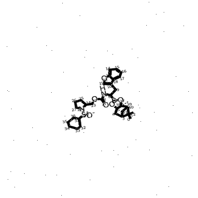 CC1(C)C2CC3OB(C(Cc4coc5ccccc45)NC(=O)OCC4CCCN4[S+]([O-])C4CCCCC4)O[C@@]3(C)C1C2